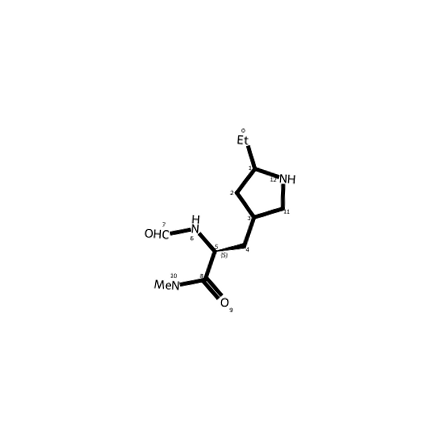 CCC1CC(C[C@H](NC=O)C(=O)NC)CN1